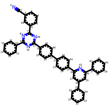 N#Cc1cccc(-c2nc(-c3ccccc3)nc(-c3ccc(-c4ccc(-c5cc(-c6ccccc6)cc(-c6ccccc6)n5)cc4)cc3)n2)c1